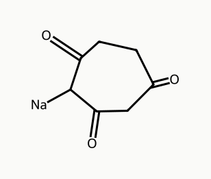 O=C1CCC(=O)[CH]([Na])C(=O)C1